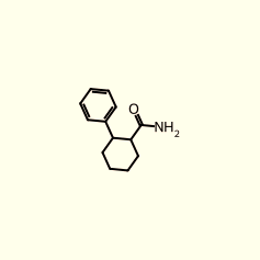 NC(=O)C1CCCCC1c1ccccc1